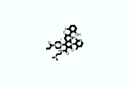 C=CC(=O)N1CCN(c2c(C(=O)NCCN(C)C)c(=O)n(-c3c(C)ccnc3C(C)C)c3nc(-c4c(O)cccc4F)c(F)cc23)[C@@H](C)C1